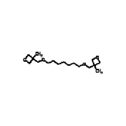 CC1(COCCCCCCCOCC2(C)COC2)COC1